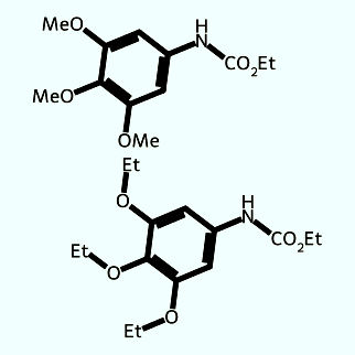 CCOC(=O)Nc1cc(OC)c(OC)c(OC)c1.CCOC(=O)Nc1cc(OCC)c(OCC)c(OCC)c1